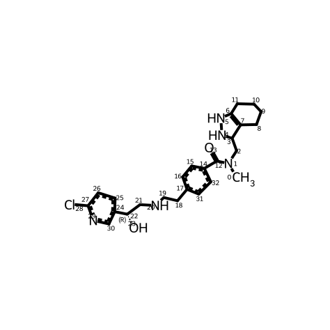 CN(CC1NNC2=C1CCCC2)C(=O)c1ccc(CCNC[C@H](O)c2ccc(Cl)nc2)cc1